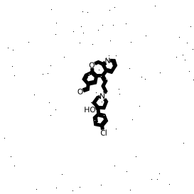 O=Cc1ccc2c(c1)C(=CCCN1CCC(O)(c3ccc(Cl)cc3)CC1)c1cccnc1CO2